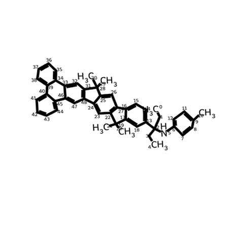 CCC(CC)(Nc1ccc(C)cc1)c1ccc2c(c1)C(C)(C)c1cc3c(cc1-2)C(C)(C)c1cc2c4ccccc4c4ccccc4c2cc1-3